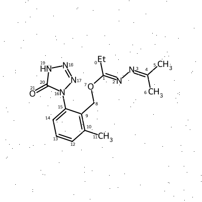 CC/C(=N\N=C(C)C)OCc1c(C)cccc1-n1nn[nH]c1=O